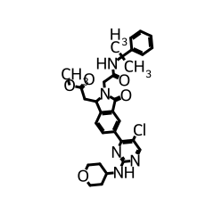 COC(=O)CC1c2ccc(-c3nc(NC4CCOCC4)ncc3Cl)cc2C(=O)N1CC(=O)NC(C)(C)c1ccccc1